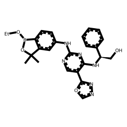 CCOB1OC(C)(C)c2cc(Nc3ncc(-c4nnco4)c(N[C@H](CO)c4ccccc4)n3)ccc21